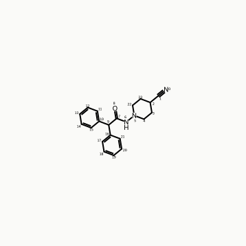 N#CC1CCN(NC(=O)C(c2ccccc2)c2ccccc2)CC1